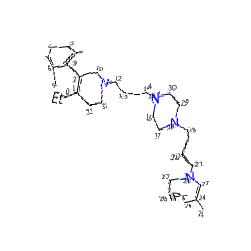 CCC1=C(C2=CCCC=C2C)CN(CCCN2CCN(CCCN(C=C(C)C)CC(C)C)CC2)CC1